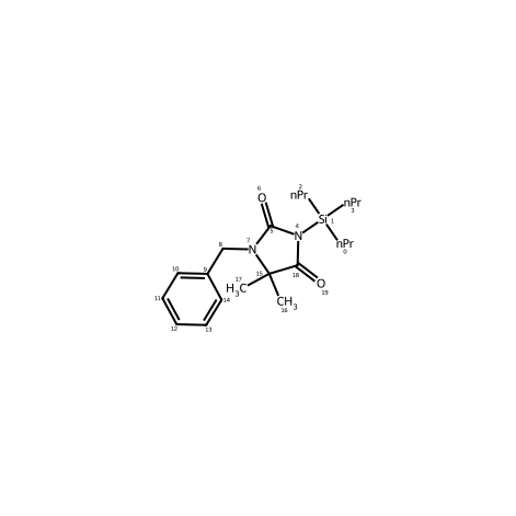 CCC[Si](CCC)(CCC)N1C(=O)N(Cc2ccccc2)C(C)(C)C1=O